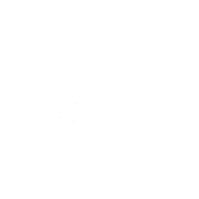 [CH2]CSCCCCSSCCSC